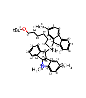 CCCCCCc1ccc2c(c1)C([Si](C)(CCCCCCOC(C)(C)C)C1c3ccccc3-c3c1c1cc(C)ccc1n3C)c1ccccc1-2